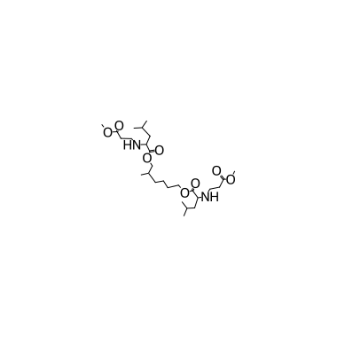 COC(=O)CCNC(CC(C)C)C(=O)OCCCCC(C)COC(=O)C(CC(C)C)NCCC(=O)OC